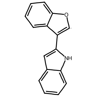 [c]1oc2ccccc2c1-c1cc2ccccc2[nH]1